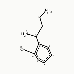 NCCC(N)c1ccccc1Cl